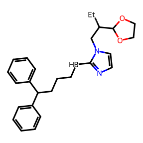 CCC(Cn1ccnc1BCCCC(c1ccccc1)c1ccccc1)C1OCCO1